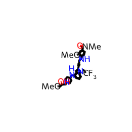 CNC(=O)c1ccc(NCC#Cc2cc3c(NC4CCN(C[C@H](O)COC)CC4)cccc3n2CC(F)(F)F)c(OC)c1